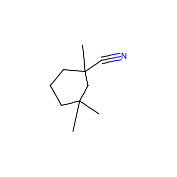 CC1(C)CCCC(C)(C#N)C1